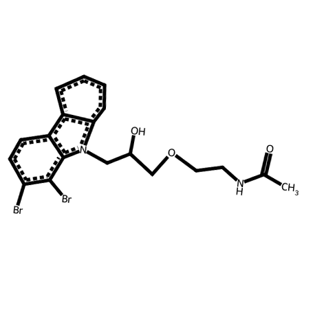 CC(=O)NCCOCC(O)Cn1c2ccccc2c2ccc(Br)c(Br)c21